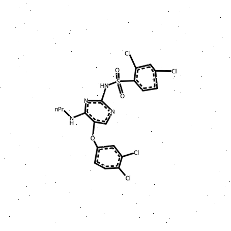 CCCNc1nc(NS(=O)(=O)c2ccc(Cl)cc2Cl)ncc1Oc1ccc(Cl)c(Cl)c1